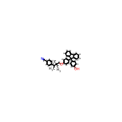 CC(c1ccc(C#N)cc1)C(C)(C)COc1ccc(C2(c3ccc(O)cc3)c3ccccc3-c3ccccc32)cc1